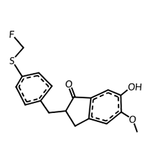 COc1cc2c(cc1O)C(=O)C(Cc1ccc(SCF)cc1)C2